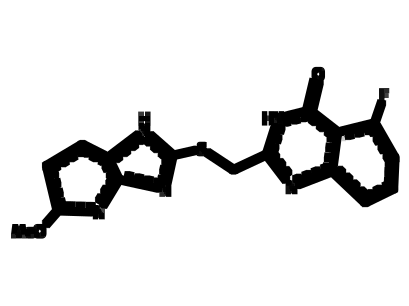 COc1ccc2[nH]c(SCc3nc4cccc(F)c4c(=O)[nH]3)nc2n1